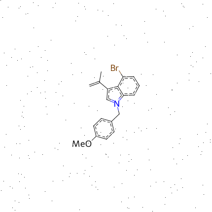 C=C(C)c1cn(Cc2ccc(OC)cc2)c2cccc(Br)c12